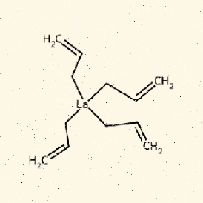 C=C[CH2][La]([CH2]C=C)([CH2]C=C)[CH2]C=C